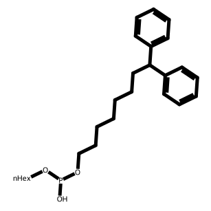 CCCCCCOP(O)OCCCCCCCC(c1ccccc1)c1ccccc1